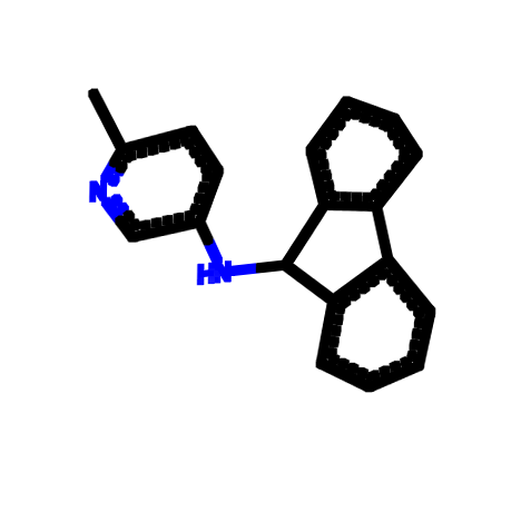 Cc1ccc(NC2c3ccccc3-c3ccccc32)cn1